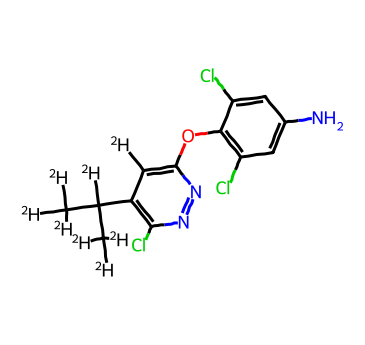 [2H]c1c(Oc2c(Cl)cc(N)cc2Cl)nnc(Cl)c1C([2H])(C([2H])([2H])[2H])C([2H])([2H])[2H]